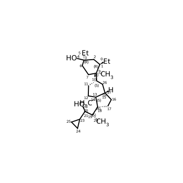 CC[C@@H]1C[C@@](O)(CC)CC[C@]1(C)[C@H]1CC[C@@]2(C)[C@@H](CC[C@@H]2[C@H](C)[C@H](O)C2CC2)C1